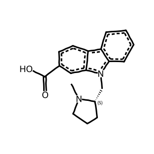 CN1CCC[C@H]1Cn1c2ccccc2c2ccc(C(=O)O)cc21